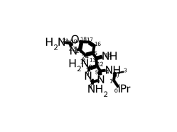 CC(C)C[C@H](C)Nc1nc(N)nc(N)c1C(=N)c1ccc2oc(N)nc2c1